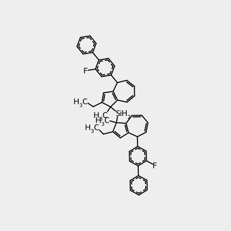 CCC1=CC2=C(C=CC=CC2c2ccc(-c3ccccc3)c(F)c2)C1(C)[SiH2]C1(C)C(CC)=CC2=C1C=CC=CC2c1ccc(-c2ccccc2)c(F)c1